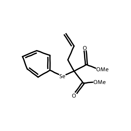 C=CCC([Se]c1ccccc1)(C(=O)OC)C(=O)OC